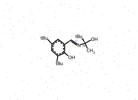 CC(C)(C)c1cc(/C=N/[C@@](C)(O)C(C)(C)C)c(O)c(C(C)(C)C)c1